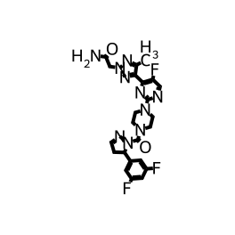 Cc1nn(CC(N)=O)nc1-c1nc(N2CCN(C(=O)N3N=CCC3c3cc(F)cc(F)c3)CC2)ncc1F